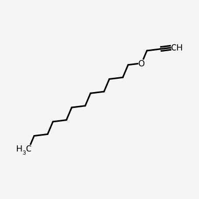 C#CCOCCCCCCCCCCCC